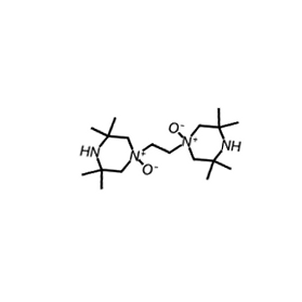 CC1(C)C[N+]([O-])(CC[N+]2([O-])CC(C)(C)NC(C)(C)C2)CC(C)(C)N1